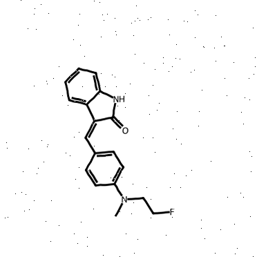 CN(CCF)c1ccc(C=C2C(=O)Nc3ccccc32)cc1